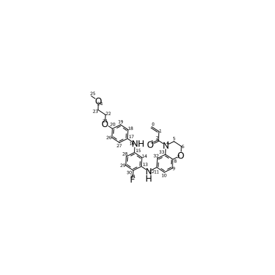 C=CC(=O)N1CCOc2ccc(Nc3cc(Nc4ccc(OCCOC)cc4)ccc3F)cc21